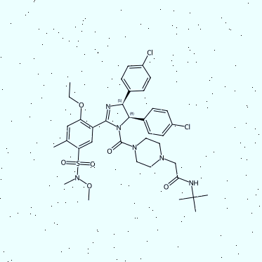 CCOc1cc(C)c(S(=O)(=O)N(C)OC)cc1C1=N[C@@H](c2ccc(Cl)cc2)[C@@H](c2ccc(Cl)cc2)N1C(=O)N1CCN(CC(=O)NC(C)(C)C)CC1